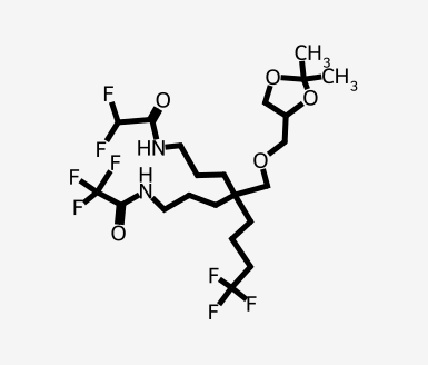 CC1(C)OCC(COCC(CCCNC(=O)C(F)F)(CCCNC(=O)C(F)(F)F)CCCC(F)(F)F)O1